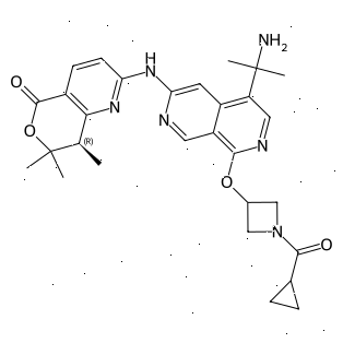 C[C@@H]1c2nc(Nc3cc4c(C(C)(C)N)cnc(OC5CN(C(=O)C6CC6)C5)c4cn3)ccc2C(=O)OC1(C)C